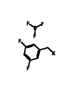 FB(F)F.Fc1cc(F)cc([CH2][K])c1